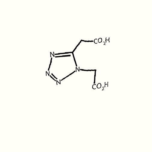 O=C(O)Cc1nnnn1CC(=O)O